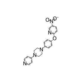 O=[N+]([O-])c1ccc(Oc2ccc(N3CCN(c4ccncc4)CC3)cc2)nc1